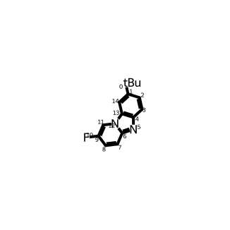 CC(C)(C)c1ccc2nc3ccc(F)cn3c2c1